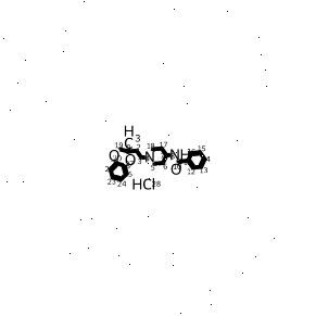 CC1(CCN2CCC(NC(=O)c3ccccc3)CC2)COc2ccccc2O1.Cl